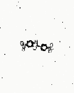 O=[N+]([O-])c1ccc(-c2nc3ccc([N+](=O)[O-])cc3o2)cc1